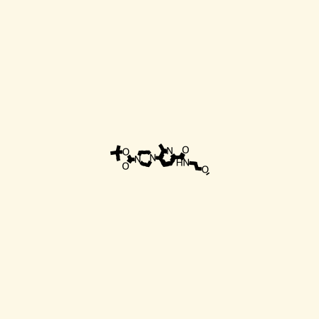 COCCNC(=O)c1ccc(N2CCN(C(=O)OC(C)(C)C)CC2)c(C)n1